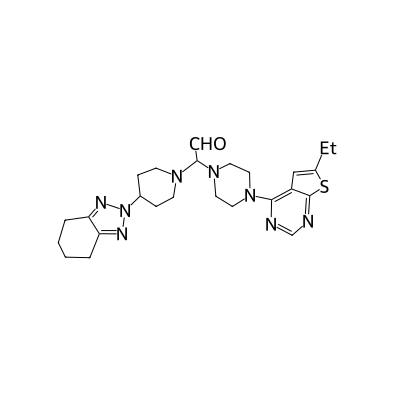 CCc1cc2c(N3CCN(C(C=O)N4CCC(n5nc6c(n5)CCCC6)CC4)CC3)ncnc2s1